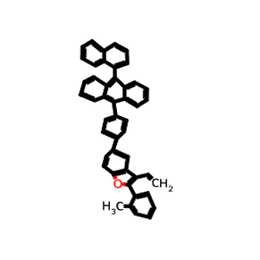 C=Cc1c(-c2ccccc2C)oc2ccc(-c3ccc(-c4c5ccccc5c(-c5cccc6ccccc56)c5ccccc45)cc3)cc12